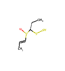 CC=C[S+]([O-])C(CC)SS